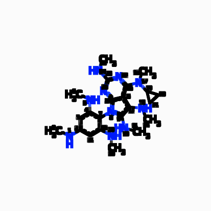 CNc1cc(NC)c(-n2c(NC)c(NC)c3c(N(C)C4CC4)nc(NC)nc32)c(NC)c1